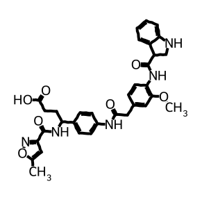 COc1cc(CC(=O)Nc2ccc(C(CCC(=O)O)NC(=O)c3cc(C)on3)cc2)ccc1NC(=O)C1CNc2ccccc21